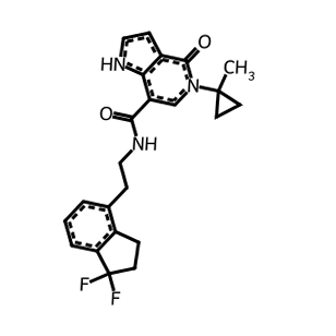 CC1(n2cc(C(=O)NCCc3cccc4c3CCC4(F)F)c3[nH]ccc3c2=O)CC1